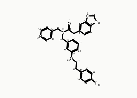 O=C(Cc1ccc2c(c1)OCO2)N(Cc1ccncc1)Cc1cccc(OCCc2ccc(F)cc2)c1